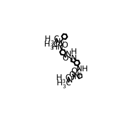 CN(C)CC(=O)N1CCC[C@H]1C(=O)Nc1ccc2[nH]c(-c3nc4cc(NC(=O)[C@@H](c5ccccc5)N(C)C)ccc4o3)cc2c1